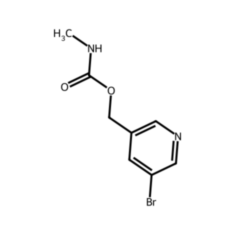 CNC(=O)OCc1cncc(Br)c1